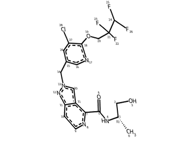 C[C@@H](CO)NC(=O)c1nccc2nn(Cc3cnc(OCC(F)(F)C(F)F)c(Cl)c3)cc12